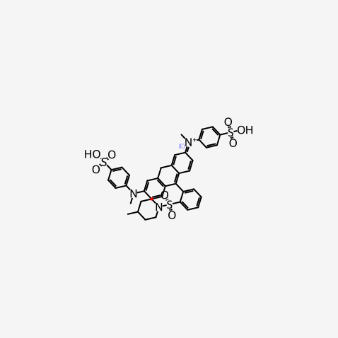 CC1CCN(S(=O)(=O)c2ccccc2C2=C3C=C/C(=[N+](/C)c4ccc(S(=O)(=O)O)cc4)C=C3Cc3cc(N(C)c4ccc(S(=O)(=O)O)cc4)ccc32)CC1